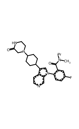 CC(C)N(C)C(=O)c1cc(F)ccc1-n1cc(C2CCC(N3CCNC(=O)C3)CC2)c2ccncc21